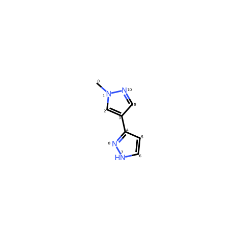 Cn1cc(-c2cc[nH]n2)[c]n1